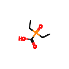 CCP(=O)(CC)C(=O)O